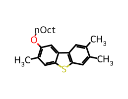 CCCCCCCCOc1cc2c(cc1C)sc1cc(C)c(C)cc12